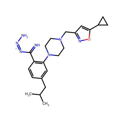 CC(C)Cc1ccc(C(=N)/N=N\N)c(N2CCN(Cc3cc(C4CC4)on3)CC2)c1